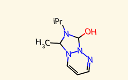 CC(C)N1C(C)N2C=CC=NN2C1O